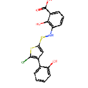 O=C(O)c1cccc(NSc2cc(-c3ccccc3O)c(Cl)s2)c1O